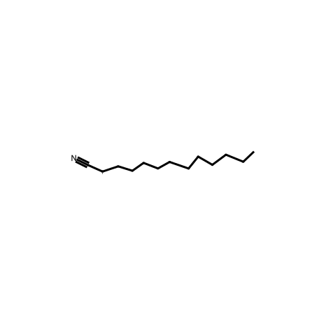 CCCCCCCCCCC[CH]C#N